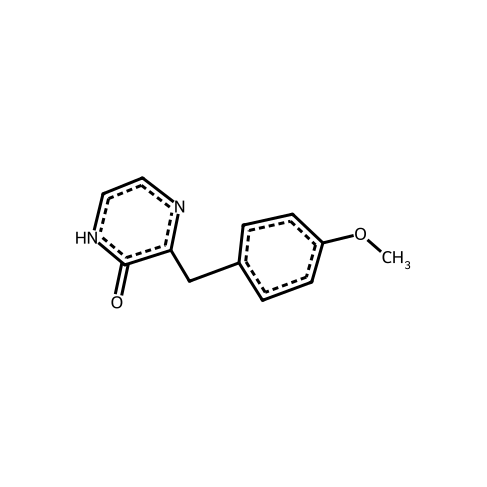 COc1ccc(Cc2ncc[nH]c2=O)cc1